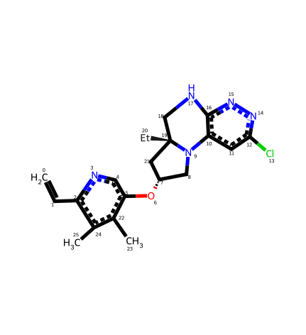 C=Cc1ncc(O[C@H]2CN3c4cc(Cl)nnc4NC[C@@]3(CC)C2)c(C)c1C